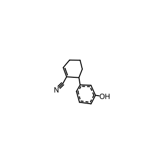 N#CC1=CCCCC1c1cccc(O)c1